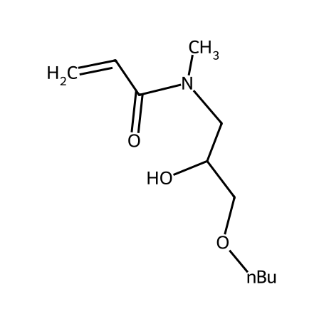 C=CC(=O)N(C)CC(O)COCCCC